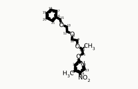 Cc1cc(OC[C@H](C)OCCOCCOCc2ccccc2)ncc1[N+](=O)[O-]